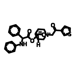 O=C(C[N+]12CCC(CC1)[C@@H](OC(=O)C(Nc1ccccc1)c1ccccc1)C2)c1ccsc1